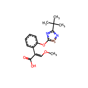 CO/C=C(/C(=O)O)c1ccccc1Oc1nc(C(C)(C)C)ns1